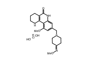 CON=C1CCN(Cc2cc(OC)c3c4c(c(=O)[nH]c3c2)CCCN4)CC1.Cl.Cl.Cl